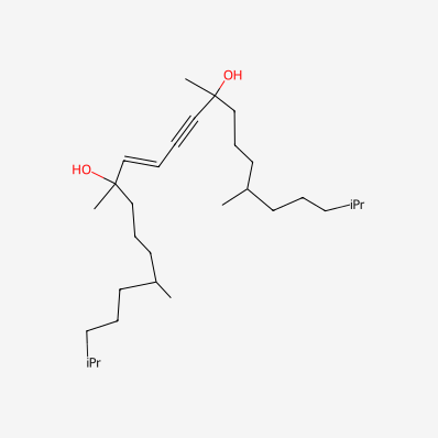 CC(C)CCCC(C)CCCC(C)(O)C#CC=CC(C)(O)CCCC(C)CCCC(C)C